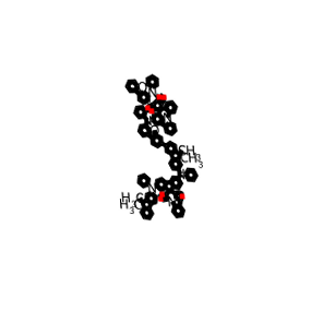 CC1(C)c2ccccc2-c2ccc(N(c3ccccc3)c3ccc4c(c3)C3(c5ccc(N(c6ccccc6)c6ccc7c(c6)C(C)(C)c6ccc(-c8ccc9c(c8)oc8c(N(c%10ccccc%10)c%10cc%11c%12c(c%10)c%10ccccc%10n%12-c%10ccccc%10C%11%10c%11ccccc%11-c%11c(N(c%12ccccc%12)c%12cccc%13c%12oc%12ccccc%12%13)cccc%11%10)cccc89)cc6-7)cc5-4)c4ccccc4-n4c5ccccc5c5cccc3c54)cc21